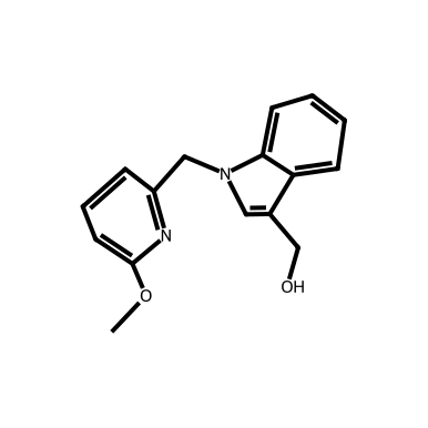 COc1cccc(Cn2cc(CO)c3ccccc32)n1